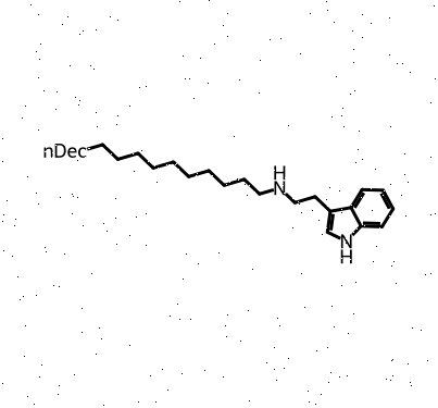 CCCCCCCCCCCCCCCCCCCCNCCc1c[nH]c2ccccc12